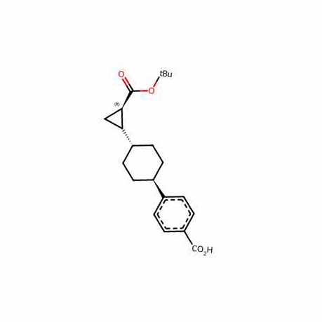 CC(C)(C)OC(=O)[C@@H]1CC1[C@H]1CC[C@H](c2ccc(C(=O)O)cc2)CC1